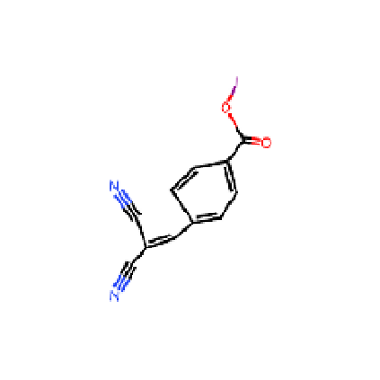 N#CC(C#N)=Cc1ccc(C(=O)OI)cc1